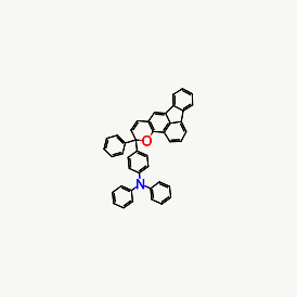 C1=CC(c2ccccc2)(c2ccc(N(c3ccccc3)c3ccccc3)cc2)Oc2c1cc1c3c(cccc23)-c2ccccc2-1